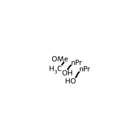 CCCO.CCCO.COC